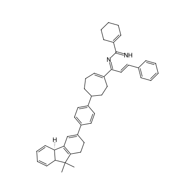 CC1(C)C2=C(C=C(c3ccc(C4CCC=C(C(/C=C/c5ccccc5)=N/C(=N)C5=CCCCC5)CC4)cc3)CC2)[C@@H]2C=CC=CC21